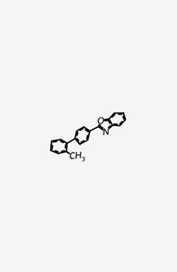 Cc1ccccc1-c1ccc(-c2nc3ccccc3o2)cc1